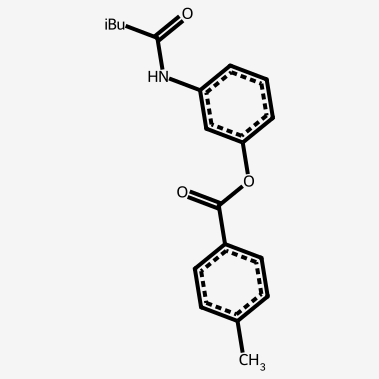 CCC(C)C(=O)Nc1cccc(OC(=O)c2ccc(C)cc2)c1